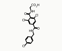 O=C(O)CNC(=O)c1c(Cl)cc(C(=O)NCc2ccc(Cl)cc2)cc1Cl